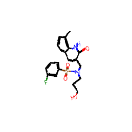 Cc1cccc2cc(CN(CCCO)S(=O)(=O)c3cccc(F)c3)c(=O)[nH]c12